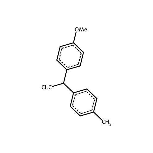 COc1ccc(C(c2ccc(C)cc2)C(Cl)(Cl)Cl)cc1